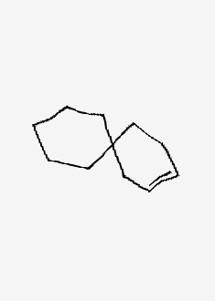 C1=CCC2(CC1)CCCCC2